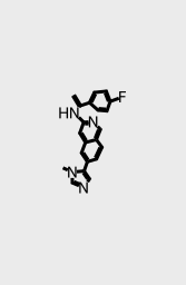 C=C(Nc1cc2cc(-c3cncn3C)ccc2cn1)c1ccc(F)cc1